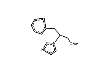 COCC(Cc1ccccc1)n1ccnc1